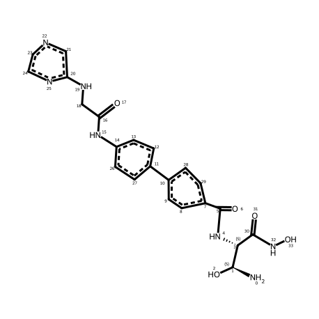 N[C@@H](O)[C@H](NC(=O)c1ccc(-c2ccc(NC(=O)CNc3cnccn3)cc2)cc1)C(=O)NO